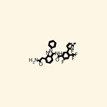 Cn1ccc(-c2cc(C(=O)Nc3c4cccc(CC(N)=O)c4nn3-c3ccccc3)c(F)cc2C(F)(F)F)n1